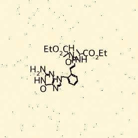 CCOC(=O)C(C)NP(=O)(/C=C/c1ccccc1Cn1cnc2c(=O)[nH]c(N)nc21)N[C@@H](C)C(=O)OCC